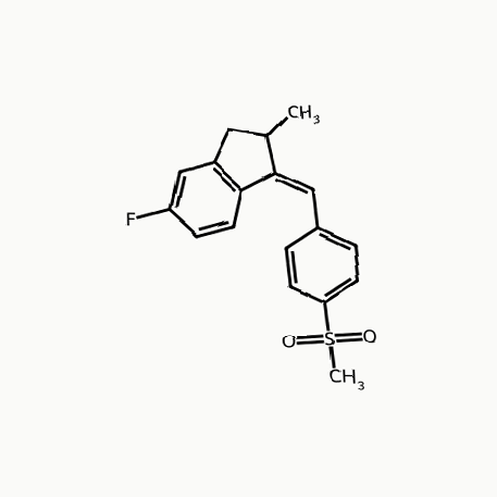 CC1Cc2cc(F)ccc2C1=Cc1ccc(S(C)(=O)=O)cc1